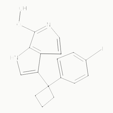 COc1nccc2c(C3(c4ccc(I)cc4)CCC3)c[nH]c12